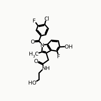 Cc1c(CC(=O)NCCO)c2c(F)c(O)ccc2n1C(=O)c1ccc(Cl)c(F)c1